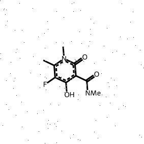 CNC(=O)c1c(O)c(F)c(C)n(C)c1=O